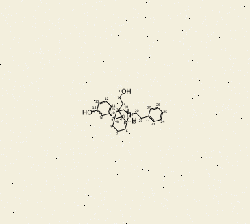 OCCC[C@H]1[C@@H]2CCC[C@]1(c1cccc(O)c1)CCN2CCc1ccccc1